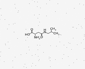 CC(C)CNC(=O)CC(N)C(=O)O